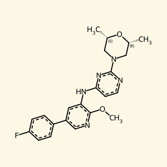 COc1ncc(-c2ccc(F)cc2)cc1Nc1ccnc(N2C[C@@H](C)O[C@@H](C)C2)n1